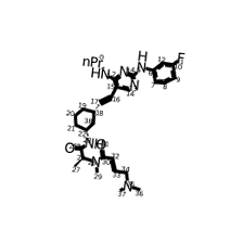 CCCNc1nc(Nc2cccc(F)c2)ncc1C#C[C@H]1CCC[C@@H](NC(=O)[C@H](C)N(C)C(=O)/C=C/CN(C)C)C1